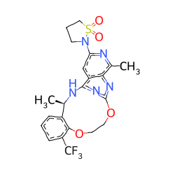 Cc1nc(N2CCCS2(=O)=O)cc2c3nc(nc12)OCCOc1c(cccc1C(F)(F)F)[C@@H](C)N3